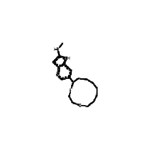 CBc1cc2ncc(C3CCCCCCCCCCC3)cc2[nH]1